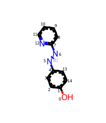 Oc1ccc(/N=N/c2ccccn2)cc1